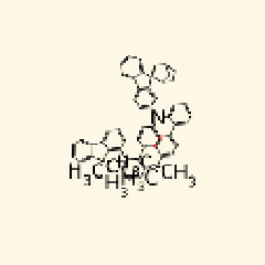 CC(C)(C)c1ccc(-c2ccccc2N(c2ccc(-c3ccccc3-c3cccc4c3C(C)(C)c3ccccc3-4)cc2)c2ccc3c(c2)C2(CC4CCC2C4)c2ccccc2-3)cc1